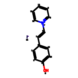 Oc1ccc(C=C[n+]2ccccc2)cc1.[I-]